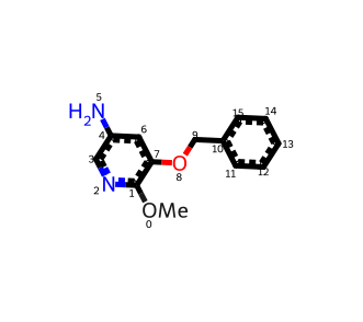 COc1ncc(N)cc1OCc1ccccc1